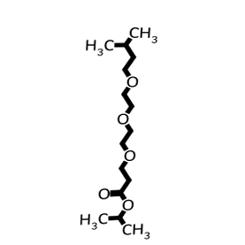 CC(C)CCOCCOCCOCCC(=O)OC(C)C